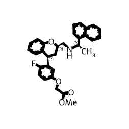 COC(=O)COc1ccc(F)c([C@@H]2C[C@H](CN[C@H](C)c3cccc4ccccc34)Oc3ccccc32)c1